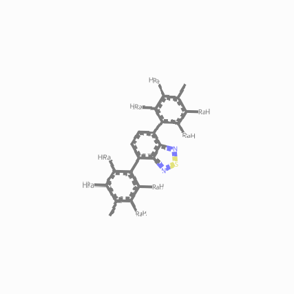 Cc1[c]([RaH])[c]([RaH])c(-c2ccc(-c3[c]([RaH])[c]([RaH])c(C)[c]([RaH])[c]3[RaH])c3nsnc23)[c]([RaH])[c]1[RaH]